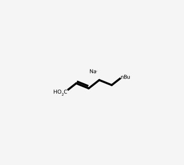 CCCCCCC=CC(=O)O.[Na]